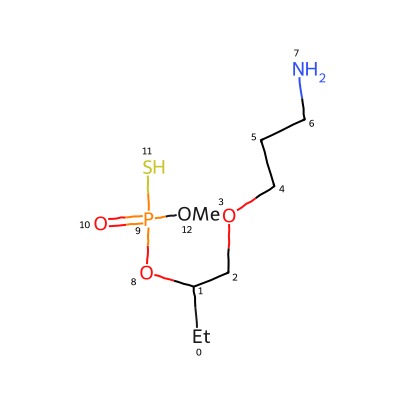 CCC(COCCCN)OP(=O)(S)OC